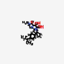 C=C(C)c1ccc(C2(CC3=NC(O)C(O)=C4C(=O)N(C)CCN34)CCCC2)cc1